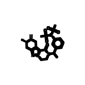 CC(c1cccc(N(S(C)(=O)=O)S(C)(=O)=O)c1)N1CCn2nc3c(c2C1=O)CN[C@H](C)C3